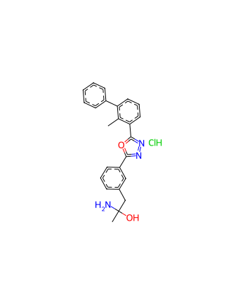 Cc1c(-c2ccccc2)cccc1-c1nnc(-c2cccc(CC(C)(N)O)c2)o1.Cl